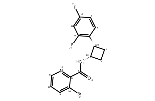 O=C(N[C@H]1CC[C@H]1c1ccc(F)cc1F)c1ncccc1Br